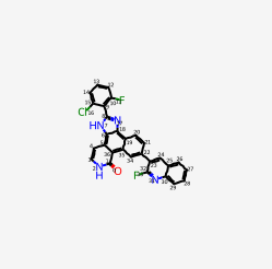 O=c1[nH]ccc2c3[nH]c(-c4c(F)cccc4Cl)nc3c3ccc(-c4cc5ccccc5nc4F)cc3c12